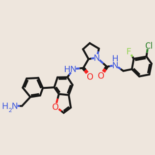 NCc1cccc(-c2cc(NC(=O)C3CCCN3C(=O)NCc3cccc(Cl)c3F)cc3ccoc23)c1